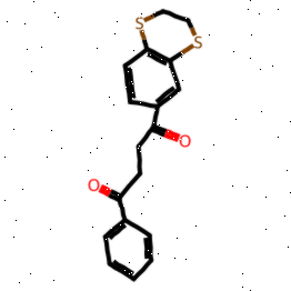 O=C(CCC(=O)c1ccc2c(c1)SCCS2)c1ccccc1